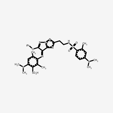 Cc1cc(N(C)C)ccc1S(=O)(=O)NCCc1nc2n(n1)N=C(OC(C)C)/C2=N\c1c(C)cc(N(C)C)c(S(=O)(=O)O)c1C